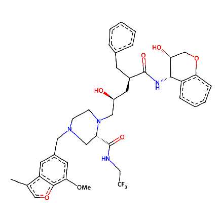 COc1cc(CN2CCN(C[C@@H](O)C[C@@H](Cc3ccccc3)C(=O)N[C@H]3c4ccccc4OC[C@H]3O)[C@H](C(=O)NCC(F)(F)F)C2)cc2c(C)coc12